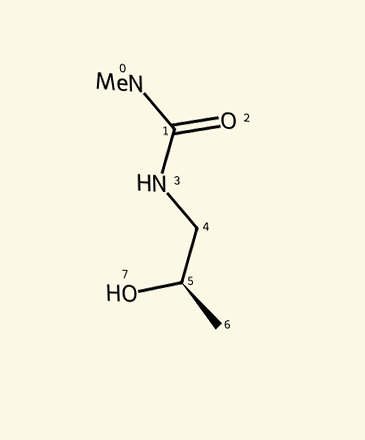 CNC(=O)NC[C@@H](C)O